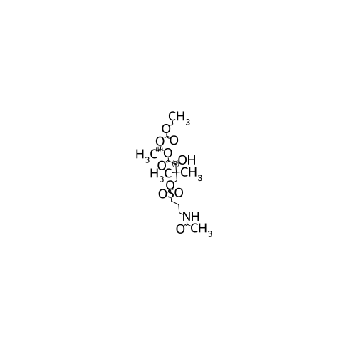 CCOC(=O)O[C@H](C)OC(=O)[C@H](O)C(C)(C)COS(=O)(=O)CCCNC(C)=O